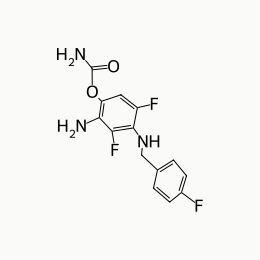 NC(=O)Oc1cc(F)c(NCc2ccc(F)cc2)c(F)c1N